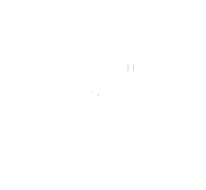 CC1=CC(c2cccs2)[Se]C(c2cccs2)=C1